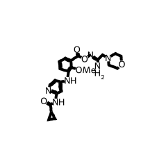 COc1c(Nc2ccnc(NC(=O)C3CC3)c2)cccc1C(=O)O/N=C(\N)CN1CCOCC1